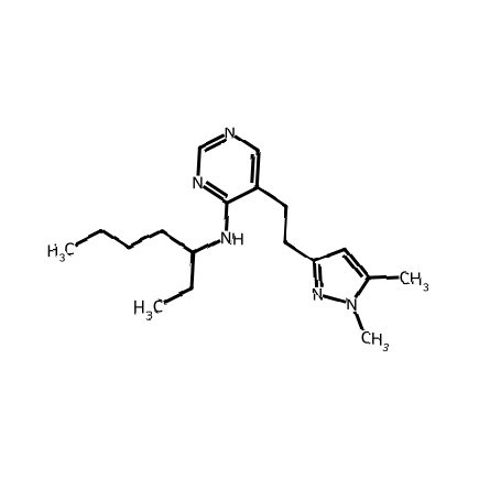 CCCCC(CC)Nc1ncncc1CCc1cc(C)n(C)n1